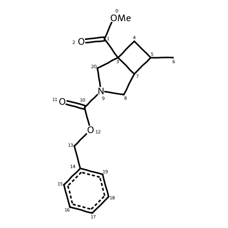 COC(=O)C12CC(C)C1CN(C(=O)OCc1ccccc1)C2